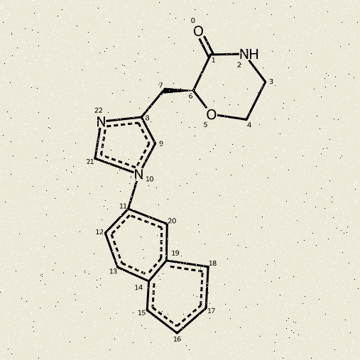 O=C1NCCO[C@H]1Cc1cn(-c2ccc3ccccc3c2)cn1